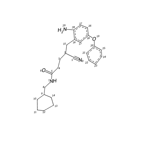 N#CC(CCC(=O)NCC1CCCCC1)Cc1cc(Oc2ccccc2)ccc1N